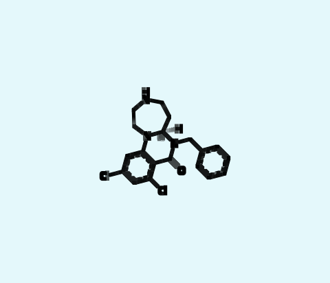 O=C1c2c(Cl)cc(Cl)cc2N2CCNCC[C@H]2N1Cc1ccccc1